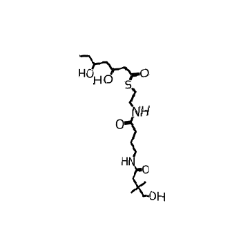 CCC(O)CC(O)CC(=O)SCCNC(=O)CCCNC(=O)CC(C)(C)CO